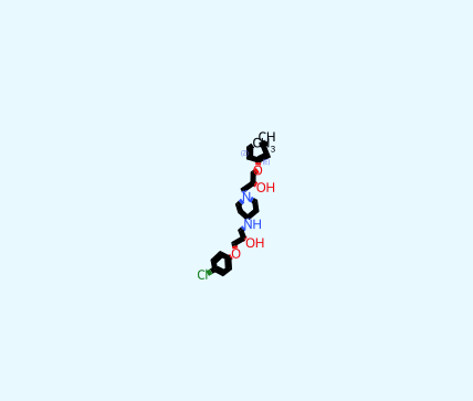 C#C/C=C(\C=C/C)OCC(O)CN1CCC(NCC(O)COc2ccc(Cl)cc2)CC1